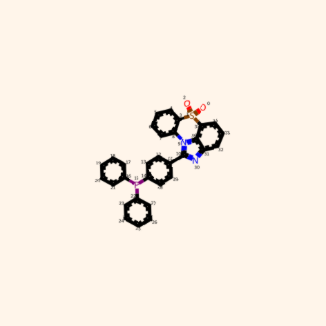 O=S1(=O)c2ccccc2-n2c(-c3ccc(P(c4ccccc4)c4ccccc4)cc3)nc3cccc1c32